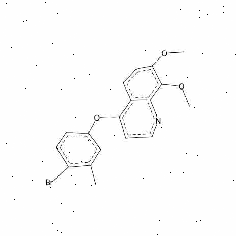 COc1ccc2c(Oc3ccc(Br)c(C)c3)ccnc2c1OC